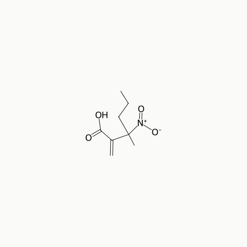 C=C(C(=O)O)C(C)(CCC)[N+](=O)[O-]